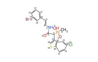 CP(=O)(O)C(C(=O)NC=Cc1cccc(Br)c1)c1csc2ccc(Cl)cc12